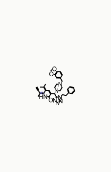 C#C/C(C)=c1/[nH]c(=O)c(C(c2nnnn2CCc2ccccc2)N2CCN(Cc3ccc4c(c3)OCO4)CC2)cc1=C(C)C